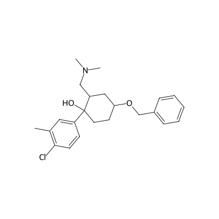 Cc1cc(C2(O)CCC(OCc3ccccc3)CC2CN(C)C)ccc1Cl